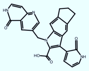 O=C(O)c1c(-c2ccc[nH]c2=O)c2cc3c(cc2n1Cc1cnc2cc[nH]c(=O)c2c1)CCC3